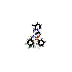 Cc1cccn2c(C)c(N(Cc3ccc(F)c(C(F)(F)F)c3)S(=O)(=O)c3ccccc3)nc12